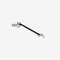 C=CCCCCCCCCCCCCCCCCCCCCCCCCC(CC)C(=O)O